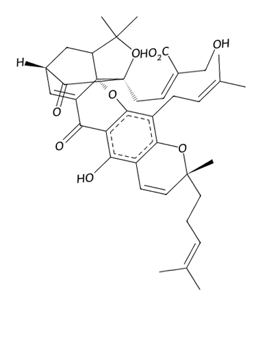 CC(C)=CCC[C@]1(C)C=Cc2c(O)c3c(c(CC=C(C)C)c2O1)O[C@]12C(=C[C@@H]4CC1C(C)(C)O[C@@]2(C/C=C(/CO)C(=O)O)C4=O)C3=O